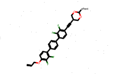 C=CCOc1ccc(-c2ccc(-c3ccc(C#CC4COC(CCCCC)OC4)c(F)c3F)cc2)c(F)c1F